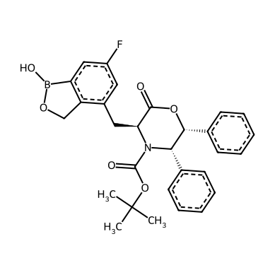 CC(C)(C)OC(=O)N1[C@@H](Cc2cc(F)cc3c2COB3O)C(=O)O[C@H](c2ccccc2)[C@@H]1c1ccccc1